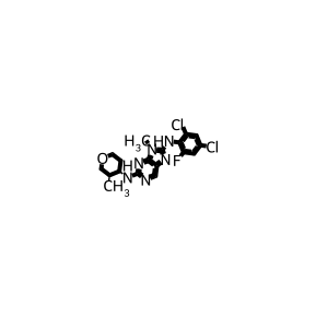 C[C@@H]1COCC[C@@H]1Nc1ncc2nc(Nc3c(F)cc(Cl)cc3Cl)n(C)c2n1